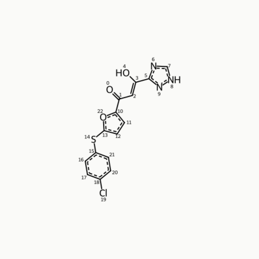 O=C(C=C(O)c1nc[nH]n1)c1ccc(Sc2ccc(Cl)cc2)o1